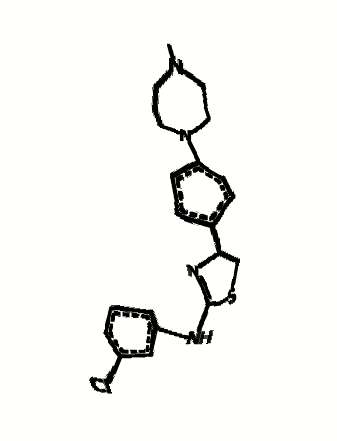 CN1CCN(c2ccc(C3CSC(Nc4cccc(Cl)c4)=N3)cc2)CC1